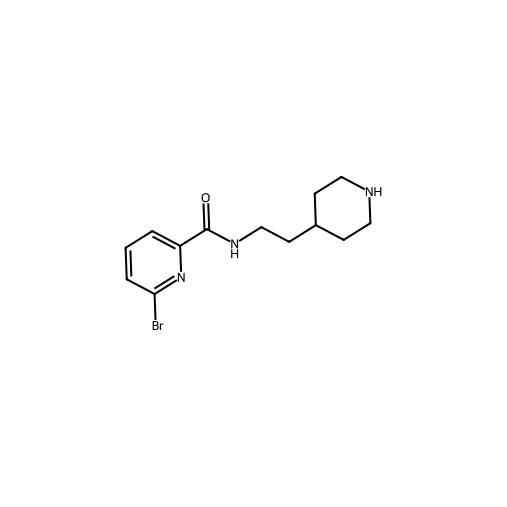 O=C(NCCC1CCNCC1)c1cccc(Br)n1